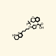 CC(C)(F)[C@@H]1COc2cccc([C@H](C(=O)O)N3CC[C@@H](OCCCCc4ccc5c(n4)NCCC5)C3)c2C1